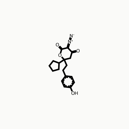 [N-]=[N+]=C1C(=O)CC(CCc2ccc(O)cc2)(C2CCCC2)OC1=O